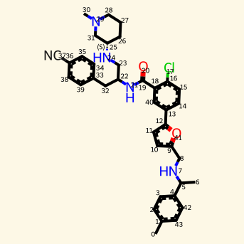 Cc1ccc(C(C)NCc2ccc(-c3ccc(Cl)c(C(=O)NC(CN[C@H]4CCCN(C)C4)Cc4ccc(C#N)cc4)c3)o2)cc1